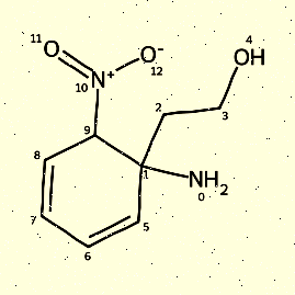 NC1(CCO)C=CC=CC1[N+](=O)[O-]